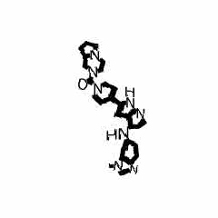 Cn1cnc2ccc(Nc3ccnc4[nH]c(C5=CCN(C(=O)N6CCN7CCCC7C6)CC5)cc34)cc21